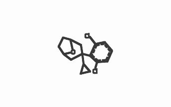 Clc1cccc(Cl)c1C1(C2CC2)CC2CCC(C1)O2